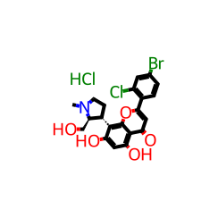 CN1CC[C@H](c2c(O)cc(O)c3c(=O)cc(-c4ccc(Br)cc4Cl)oc23)[C@H]1CO.Cl